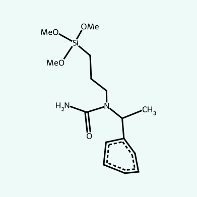 CO[Si](CCCN(C(N)=O)C(C)c1ccccc1)(OC)OC